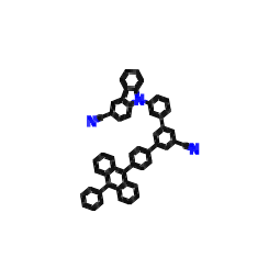 N#Cc1cc(-c2ccc(-c3c4ccccc4c(-c4ccccc4)c4ccccc34)cc2)cc(-c2cccc(-n3c4ccccc4c4cc(C#N)ccc43)c2)c1